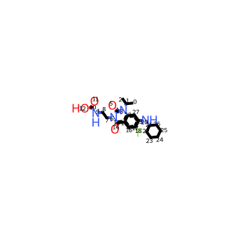 CC(C)n1c(=O)n(CCNC(=O)O)c(=O)c2cc(F)c(NC3CCCCC3)cc21